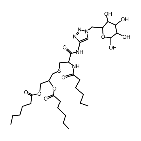 CCCCCC(=O)NC(CSCC(COC(=O)CCCCC)OC(=O)CCCCC)C(=O)Nc1cn(CC2OC(O)C(O)C(O)C2O)nn1